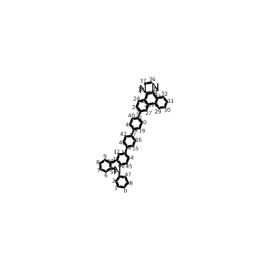 c1ccc(-n2c3ccccc3c3cc(-c4ccc(-c5ccc(-c6ccc7c(c6)c6ccccc6c6nccnc76)cc5)cc4)ccc32)cc1